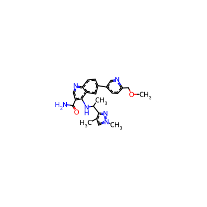 COCc1ccc(-c2ccc3ncc(C(N)=O)c(NC(C)c4nn(C)cc4C)c3c2)cn1